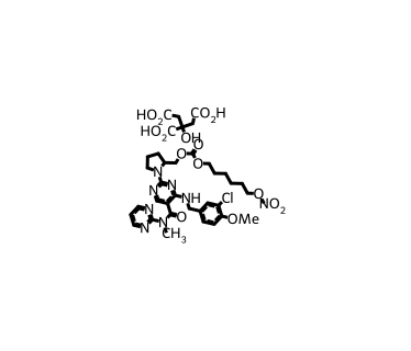 COc1ccc(CNc2nc(N3CCCC3COC(=O)OCCCCCCO[N+](=O)[O-])ncc2C(=O)N(C)c2ncccn2)cc1Cl.O=C(O)CC(O)(CC(=O)O)C(=O)O